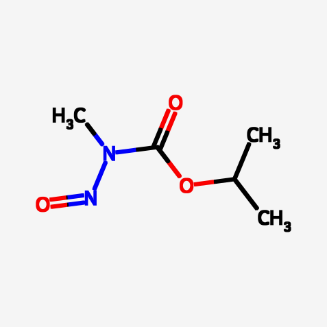 CC(C)OC(=O)N(C)N=O